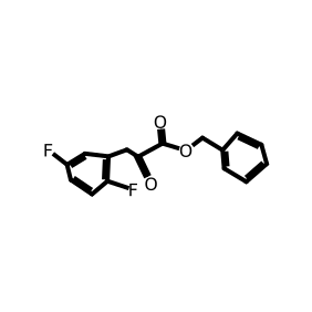 O=C(Cc1cc(F)ccc1F)C(=O)OCc1ccccc1